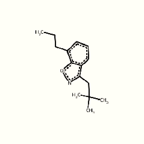 CCCc1cccc2c(CC(C)(C)C)noc12